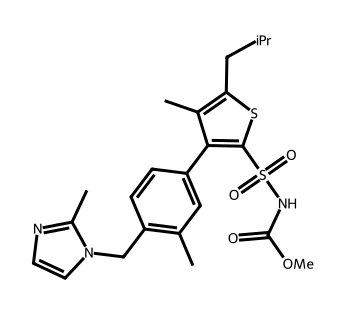 COC(=O)NS(=O)(=O)c1sc(CC(C)C)c(C)c1-c1ccc(Cn2ccnc2C)c(C)c1